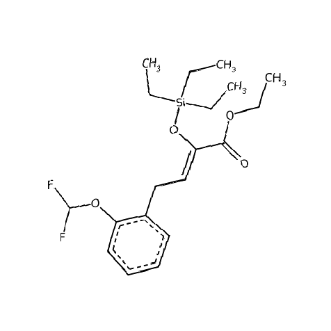 CCOC(=O)C(=CCc1ccccc1OC(F)F)O[Si](CC)(CC)CC